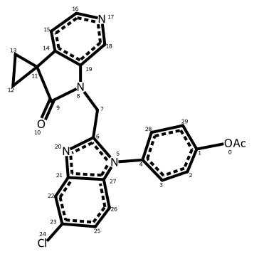 CC(=O)Oc1ccc(-n2c(CN3C(=O)C4(CC4)c4ccncc43)nc3cc(Cl)ccc32)cc1